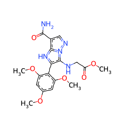 COC(=O)CNc1c(-c2c(OC)cc(OC)cc2OC)[nH]c2c(C(N)=O)cnn12